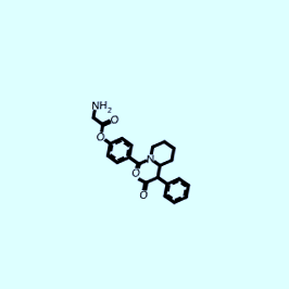 CC(=O)C(c1ccccc1)C1CCCCN1C(=O)c1ccc(OC(=O)CN)cc1